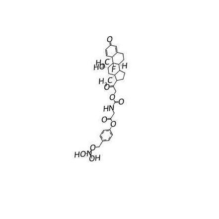 C[C@]12C[C@H](O)C3(F)[C@@H](CCC4=CC(=O)C=C[C@@]43C)C1CCC2C(=O)COC(=O)NCC(=O)Oc1ccc(CON(O)O)cc1